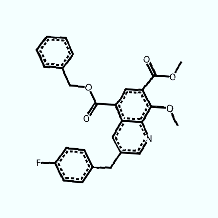 COC(=O)c1cc(C(=O)OCc2ccccc2)c2cc(Cc3ccc(F)cc3)cnc2c1OC